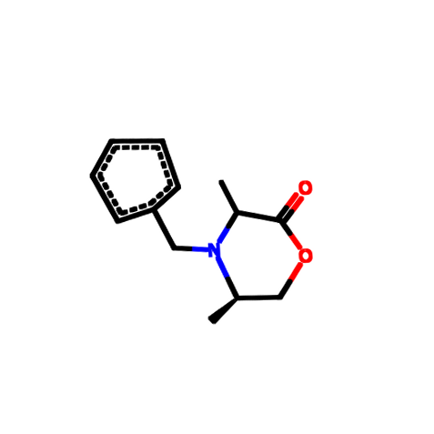 CC1C(=O)OC[C@@H](C)N1Cc1ccccc1